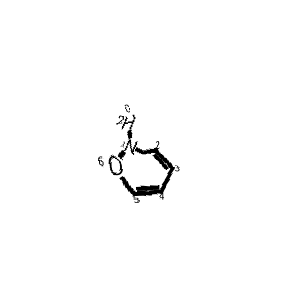 [2H]N1C=CC=CO1